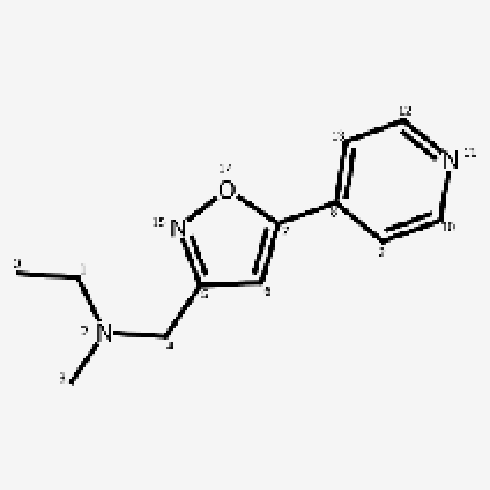 CCN(C)Cc1cc(-c2ccncc2)on1